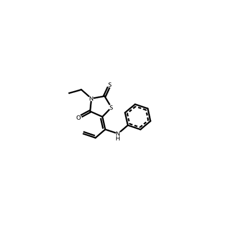 C=CC(Nc1ccccc1)=C1SC(=S)N(CC)C1=O